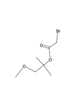 COCC(C)(C)OC(=O)CBr